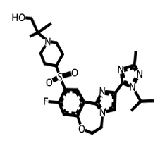 Cc1nc(-c2cn3c(n2)-c2cc(S(=O)(=O)C4CCN(C(C)(C)CO)CC4)c(F)cc2OCC3)n(C(C)C)n1